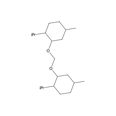 CC1CCC(C(C)C)C(OCOC2CC(C)CCC2C(C)C)C1